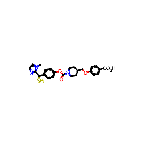 Cn1ccnc1C(S)c1ccc(OC(=O)N2CCC(COc3ccc(C(=O)O)cc3)CC2)cc1